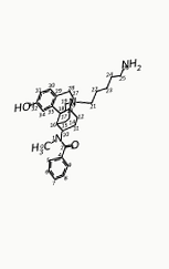 CN(C(=O)c1ccccc1)C1CCC23CCC1C21CCN(CCCCCN)C3Cc2ccc(O)cc21